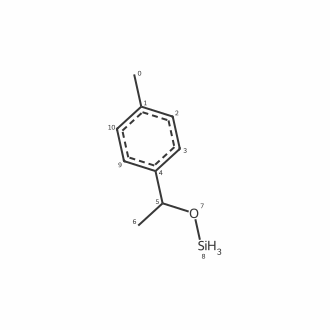 Cc1ccc(C(C)O[SiH3])cc1